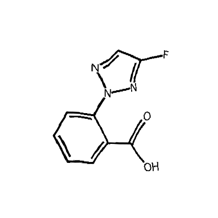 O=C(O)c1ccccc1-n1ncc(F)n1